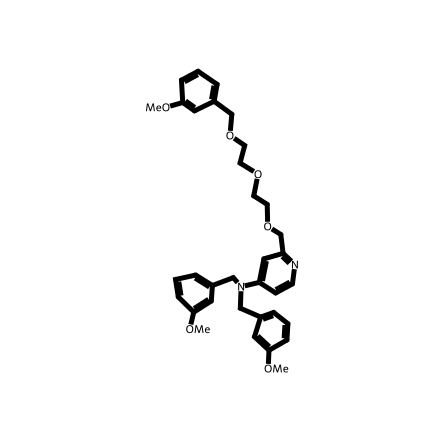 COc1cccc(COCCOCCOCc2cc(N(Cc3cccc(OC)c3)Cc3cccc(OC)c3)ccn2)c1